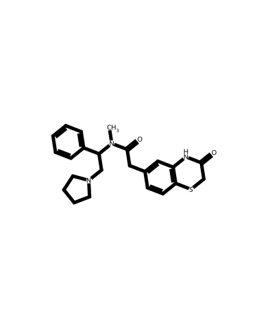 CN(C(=O)Cc1ccc2c(c1)NC(=O)CS2)C(CN1CCCC1)c1ccccc1